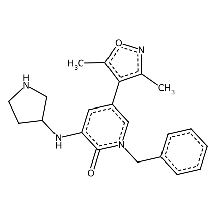 Cc1noc(C)c1-c1cc(NC2CCNC2)c(=O)n(Cc2ccccc2)c1